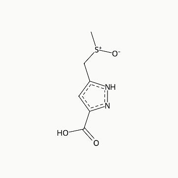 C[S+]([O-])Cc1cc(C(=O)O)n[nH]1